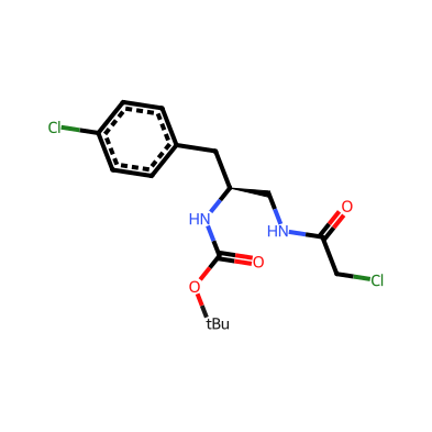 CC(C)(C)OC(=O)N[C@H](CNC(=O)CCl)Cc1ccc(Cl)cc1